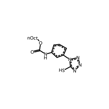 CCCCCCCCOC(=O)Nc1cccc(-n2nnnc2S)c1